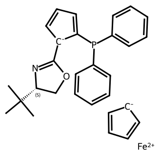 CC(C)(C)[C@H]1COC([c-]2cccc2P(c2ccccc2)c2ccccc2)=N1.[Fe+2].c1cc[cH-]c1